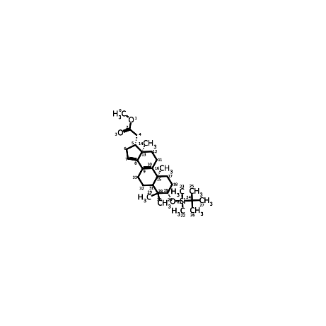 COC(=O)C[C@H]1CC=C2C3=C(CC[C@@]21C)[C@@]1(C)CC[C@H](O[Si](C)(C)C(C)(C)C)C(C)(C)C1CC3